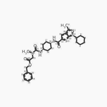 Cc1nn(C2CCCCC2)c2sc(C(=O)N[C@H]3CC[C@H](NC(=O)N(C)CC(=O)OCc4ccccc4)CC3)cc12